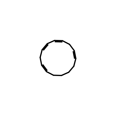 C1=CCC=CCCCCC=CCC=C1